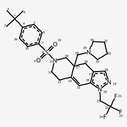 CC(C)(C)c1ccc(S(=O)(=O)N2CCC3=Cc4c(cnn4CC(F)(F)F)CC3(CN3CCCC3)C2)cc1